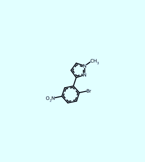 Cn1ccc(-c2cc([N+](=O)[O-])ccc2Br)n1